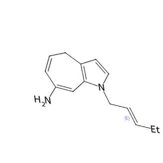 CC/C=C/Cn1ccc2c1C=C(N)C=CC2